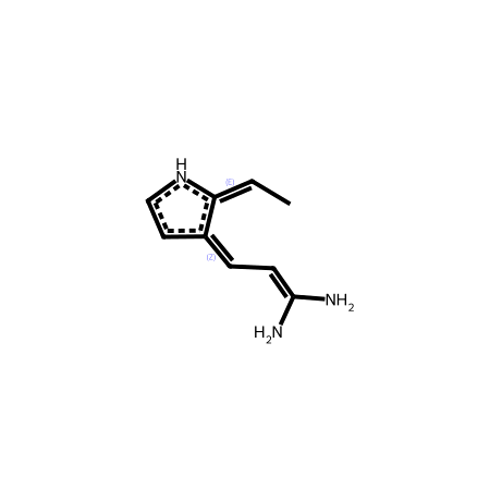 C/C=c1/[nH]cc/c1=C/C=C(N)N